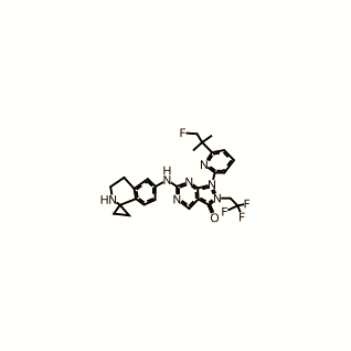 CC(C)(CF)c1cccc(-n2c3nc(Nc4ccc5c(c4)CCNC54CC4)ncc3c(=O)n2CC(F)(F)F)n1